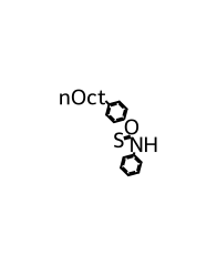 CCCCCCCCc1ccc(OC(=S)Nc2ccccc2)cc1